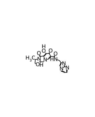 C[C@H]1CO[C@@H]2Cn3cc(C(=O)NCc4cn5cccnc5n4)c(=O)c(O)c3C(=O)N12